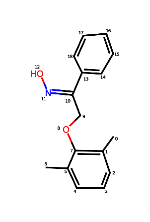 Cc1cccc(C)c1OCC(=NO)c1ccccc1